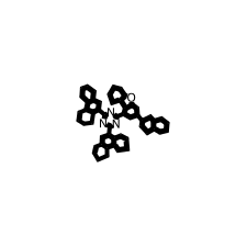 C1=Cc2c(c(-c3nc(-c4cc5c(c6ccccc46)CCC=C5)nc(-c4cc(-c5ccc6ccccc6c5)cc5oc6ccccc6c45)n3)cc3ccccc23)CC1